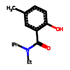 CCN(C(=O)c1cc(C)ccc1O)C(C)C